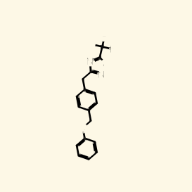 FC(F)(F)c1nc(Cc2ccc(CSc3ccccc3)cc2)no1